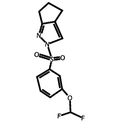 O=S(=O)(c1cccc(OC(F)F)c1)n1cc2c(n1)CCC2